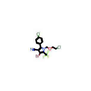 N#Cc1c(Br)c(C(F)(F)F)n(COCCCl)c1-c1ccc(Cl)cc1